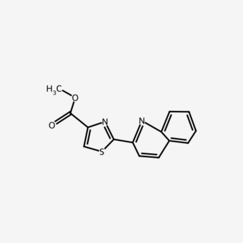 COC(=O)c1csc(-c2ccc3ccccc3n2)n1